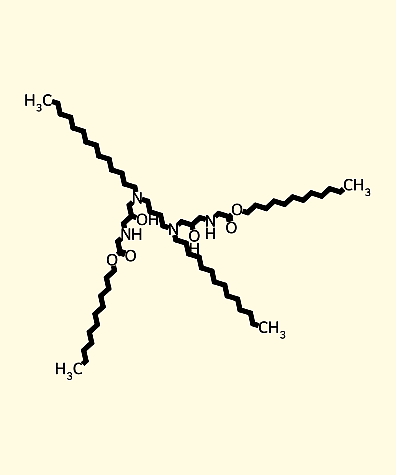 CCCCCCCCCCCCCCN(CCCCN(CCCCCCCCCCCCCC)CC(O)CNCC(=O)OCCCCCCCCCCCC)CC(O)CNCC(=O)OCCCCCCCCCCCC